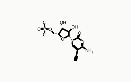 C#Cc1cn([C@@H]2O[C@H](COP(=O)(Cl)Cl)[C@H](O)C2O)c(=O)nc1N